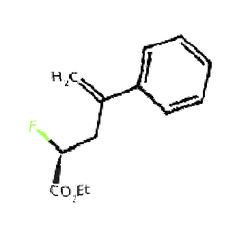 C=C(C[C@H](F)C(=O)OCC)c1ccccc1